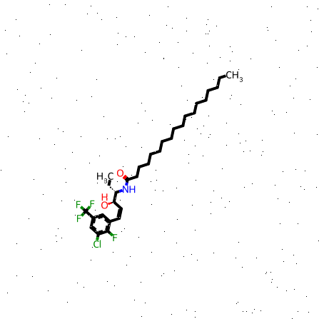 CCCCCCCCCCCCCCCCCC(=O)N[C@@H](CC)[C@H](O)/C=C\c1cc(C(F)(F)F)cc(Cl)c1F